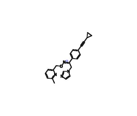 Cc1cccc(CO/N=C(\Cn2ccnc2)c2ccc(C#CC3CC3)cc2)n1